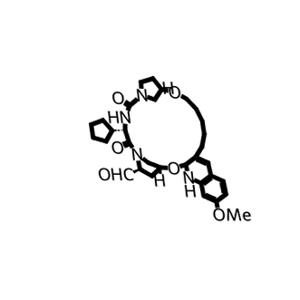 COc1ccc2c(c1)NC1O[C@@H]3C[C@@H](C=O)N(C3)C(=O)[C@H](C3CCCC3)NC(=O)N3CC[C@@H](C3)OCCCCCC1=C2